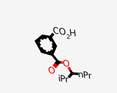 CCCC(OC(=O)c1cccc(C(=O)O)c1)C(C)C